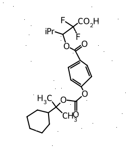 CC(C)C(OC(=O)c1ccc(OC(=O)OC(C)(C)C2CCCCC2)cc1)C(F)(F)C(=O)O